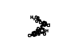 COC(=O)COc1ccc(Cl)cc1CC1CNC(=O)CN(S(=O)(=O)c2ccc(Cl)cc2)C1=O